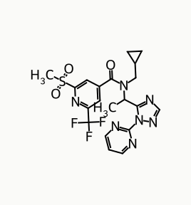 CC(c1ncnn1-c1ncccn1)N(CC1CC1)C(=O)c1cc(C(F)(F)F)nc(S(C)(=O)=O)c1